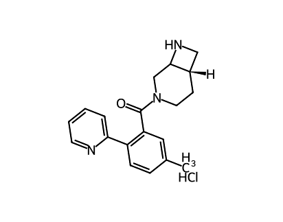 Cc1ccc(-c2ccccn2)c(C(=O)N2CC[C@H]3CNC3C2)c1.Cl